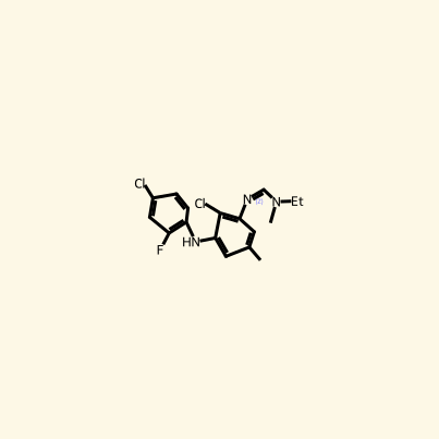 CCN(C)/C=N\c1cc(C)cc(Nc2ccc(Cl)cc2F)c1Cl